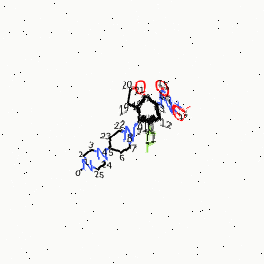 CN1CCN(C2CCN(c3c(F)cc([N+](=O)[O-])c4c3CCO4)CC2)CC1